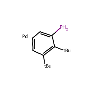 CC(C)(C)c1cccc(P)c1C(C)(C)C.[Pd]